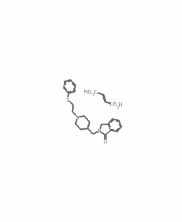 O=C(O)C=CC(=O)O.O=C1c2ccccc2CN1CC1CCN(CCSc2ccccc2)CC1